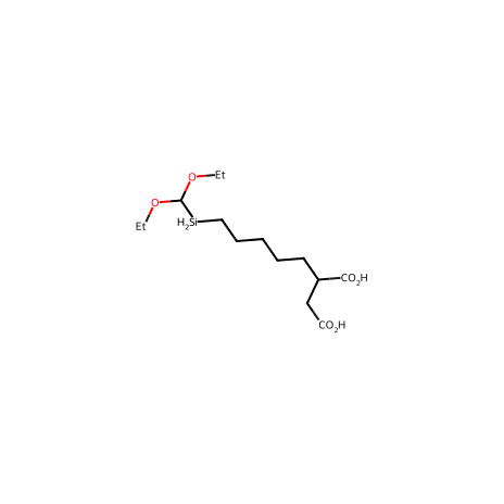 CCOC(OCC)[SiH2]CCCCCC(CC(=O)O)C(=O)O